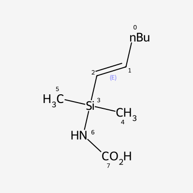 CCCC/C=C/[Si](C)(C)NC(=O)O